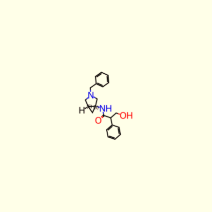 O=C(N[C@@]12C[C@@H]1CN(Cc1ccccc1)C2)C(CO)c1ccccc1